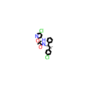 C[C@H](c1ccc(Cl)cc1)[C@H](CNC(=O)C(C)(C)Oc1ccc(Cl)cn1)c1ccccc1